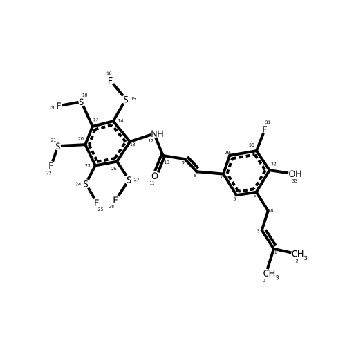 CC(C)=CCc1cc(C=CC(=O)Nc2c(SF)c(SF)c(SF)c(SF)c2SF)cc(F)c1O